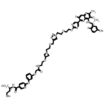 Cc1nc2cc(F)c(-c3cnc(OCCOCCn4cc(COCCN5CC(OCCNC(=O)COc6cccc(Oc7ccc(C(=O)N[C@@H](CCC(C)(C)C)C(=O)O)cn7)c6)C5)nn4)nc3)nc2c(N[C@H](C)c2cc(C#N)ccc2F)c1Cl